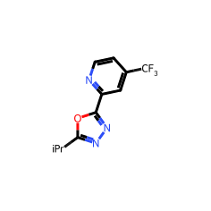 CC(C)c1nnc(-c2cc(C(F)(F)F)ccn2)o1